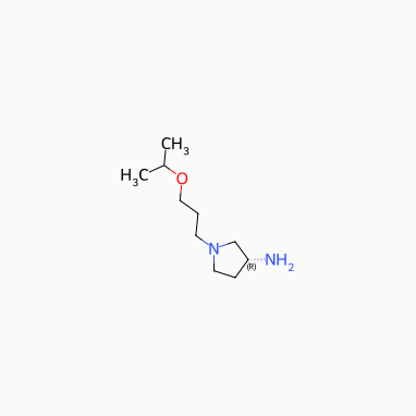 CC(C)OCCCN1CC[C@@H](N)C1